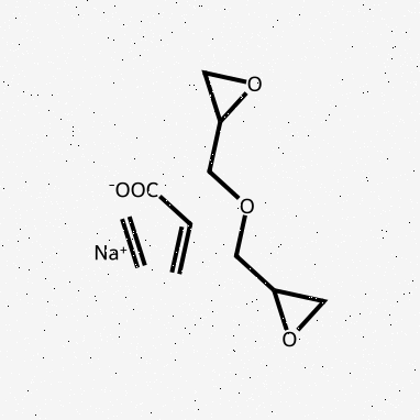 C(OCC1CO1)C1CO1.C=C.C=CC(=O)[O-].[Na+]